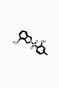 Cc1ccc(S(=O)(=O)N2Cc3cccc(N)c3C2)c(O)c1